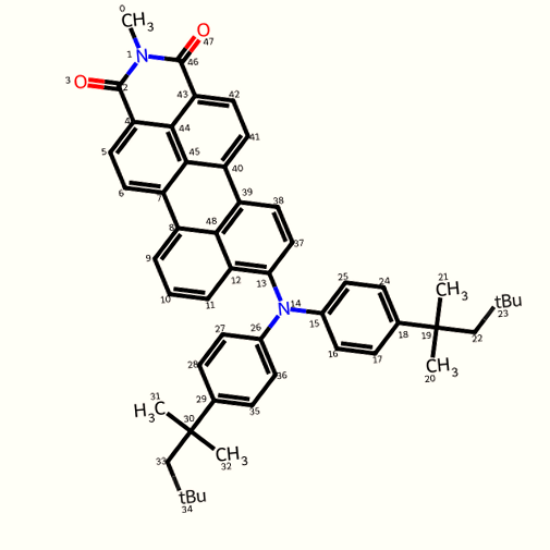 CN1C(=O)c2ccc3c4cccc5c(N(c6ccc(C(C)(C)CC(C)(C)C)cc6)c6ccc(C(C)(C)CC(C)(C)C)cc6)ccc(c6ccc(c2c36)C1=O)c54